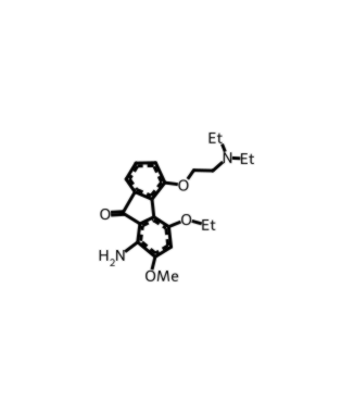 CCOc1cc(OC)c(N)c2c1-c1c(OCCN(CC)CC)cccc1C2=O